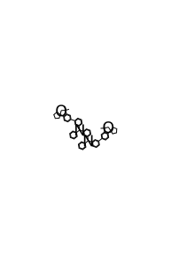 CC1(C)OC2(CCCC2)c2ccc(-c3cccc(N(c4ccccc4)c4cccc(N(c5ccccc5)c5cccc(-c6ccc7c(c6)C(C)(C)OC76CCCC6)c5)c4)c3)cc21